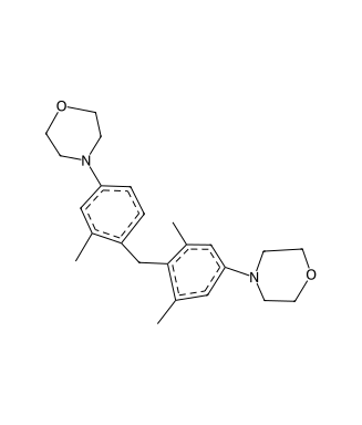 Cc1cc(N2CCOCC2)ccc1Cc1c(C)cc(N2CCOCC2)cc1C